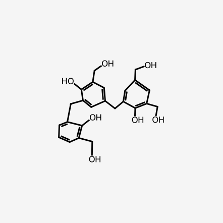 OCc1cc(CO)c(O)c(Cc2cc(CO)c(O)c(Cc3cccc(CO)c3O)c2)c1